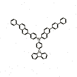 c1ccc(-c2ccc(-c3ccc4cc(N(c5ccc(-c6ccc7cc(-c8ccccc8)ccc7c6)cc5)c5ccc(-n6c7ccccc7c7ccccc76)cc5)ccc4c3)cc2)cc1